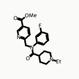 CCN1CCC(C(=O)N(Cc2ccc(C(=O)OC)cn2)c2cccc(F)c2)CC1